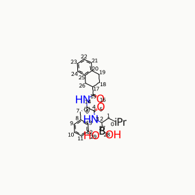 CC(C)CC(NC(=O)[C@H](Cc1ccccc1)NC(=O)C1CCc2ccccc2C1)B(O)O